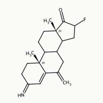 C=C1CC2C(CC[C@]3(C)C(=O)C(F)CC23)[C@@]2(C)CCC(=N)C=C12